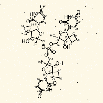 O=c1ccn([C@@H]2O[C@](F)(COP(=O)(OC[C@@]3(F)O[C@@H](n4ccc(=O)[nH]c4=O)[C@@]4(CCS4)[C@@H]3O)OC[C@@]3(F)O[C@@H](n4ccc(=O)[nH]c4=O)[C@@]4(CCS4)[C@@H]3O)[C@@H](O)[C@]23CCS3)c(=O)[nH]1